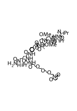 CC[C@H](C)[C@@H]([C@@H](CC(=O)N1CCCC1[C@H](OC)[C@@H](C)C(=O)NS(=O)(=O)Cc1ccc(NC(=O)[C@H](CCCNC(N)=O)NC(=O)[C@@H](NC(=O)CCOCCOCCOCCN2C(=O)C=CC2=O)C(C)C)cc1)OC)N(C)C(=O)[C@@H](NC(=O)[C@H](C(C)C)N(C)C)C(C)C